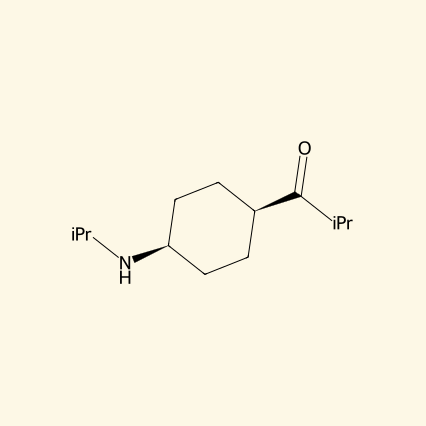 CC(C)N[C@H]1CC[C@@H](C(=O)C(C)C)CC1